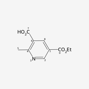 CCOC(=O)c1cnc(C)c(C(=O)O)c1